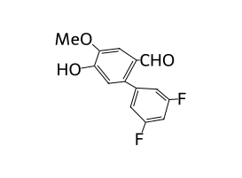 COc1cc(C=O)c(-c2cc(F)cc(F)c2)cc1O